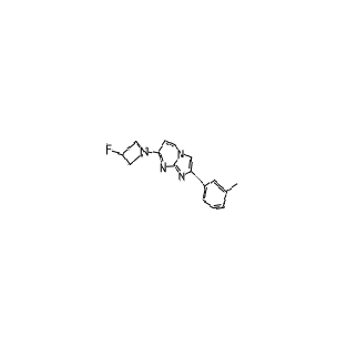 Cc1cccc(-c2cn3ccc(N4CC(F)C4)nc3n2)c1